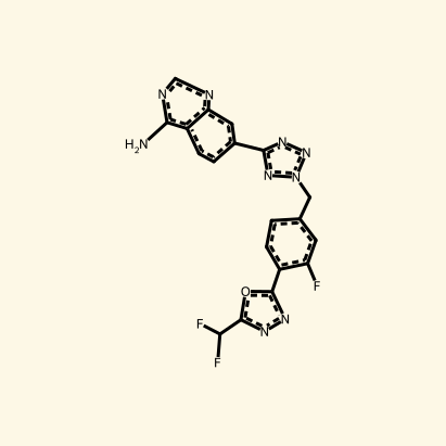 Nc1ncnc2cc(-c3nnn(Cc4ccc(-c5nnc(C(F)F)o5)c(F)c4)n3)ccc12